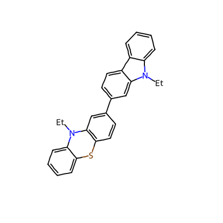 CCN1c2ccccc2Sc2ccc(-c3ccc4c5ccccc5n(CC)c4c3)cc21